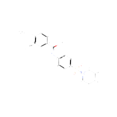 COc1ccc(C(=O)Nc2ccc(S(=O)(=O)N3CCCCC3)cc2)cc1C